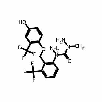 CN(N)C(=O)N(N)c1cccc(C(F)(F)F)c1COc1ccc(O)cc1C(F)(F)F